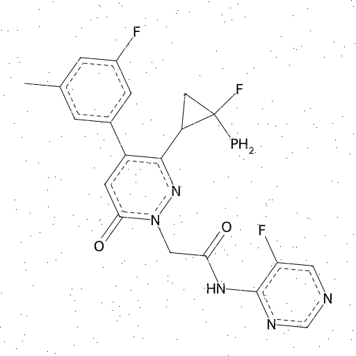 Cc1cc(F)cc(-c2cc(=O)n(CC(=O)Nc3ncncc3F)nc2C2CC2(F)P)c1